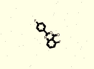 O=c1oc(-c2ccc(F)cc2)nc2cccc(F)c12